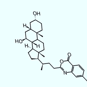 Cc1ccc2c(=O)oc(CC[C@@H](C)[C@H]3CC[C@H]4[C@H]5C(CC[C@]34C)[C@@]3(C)CC[C@@H](O)C[C@H]3C[C@@H]5O)nc2c1